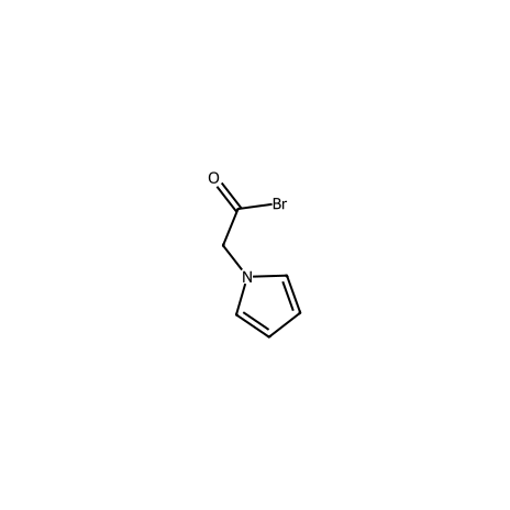 O=C(Br)Cn1cccc1